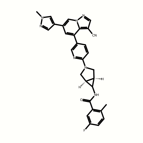 Cc1ccc(F)cc1C(=O)NC1[C@H]2CN(c3ccc(-c4cc(-c5cnn(C)c5)cn5ncc(C#N)c45)cn3)C[C@@H]12